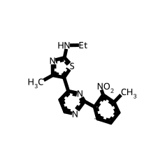 CCNc1nc(C)c(-c2ccnc(-c3[c]ccc(C)c3[N+](=O)[O-])n2)s1